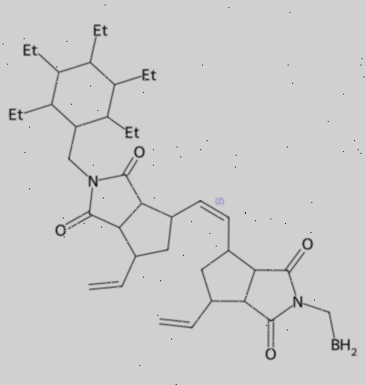 BCN1C(=O)C2C(C=C)CC(/C=C\C3CC(C=C)C4C(=O)N(CC5C(CC)C(CC)C(CC)C(CC)C5CC)C(=O)C34)C2C1=O